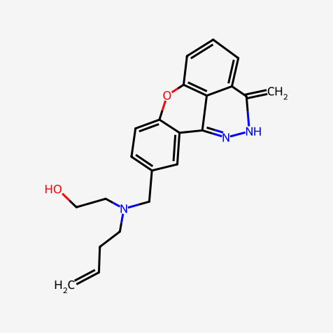 C=CCCN(CCO)Cc1ccc2oc3cccc4c3-c(n[nH]c4=C)c2c1